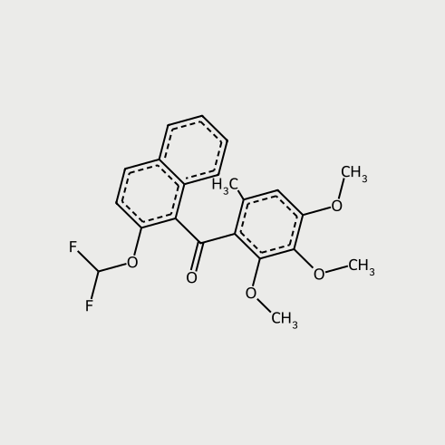 COc1cc(C)c(C(=O)c2c(OC(F)F)ccc3ccccc23)c(OC)c1OC